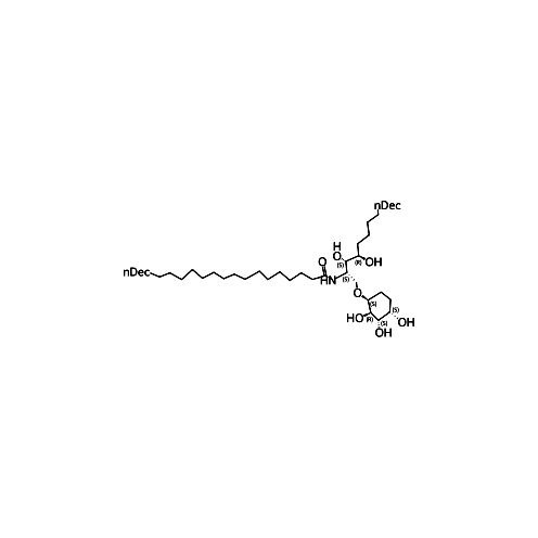 CCCCCCCCCCCCCCCCCCCCCCCCCC(=O)N[C@@H](CO[C@H]1CC[C@H](O)[C@H](O)[C@H]1O)[C@H](O)[C@H](O)CCCCCCCCCCCCCC